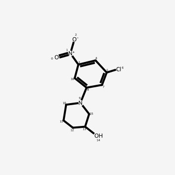 O=[N+]([O-])c1cc(Cl)cc(N2CCCC(O)C2)c1